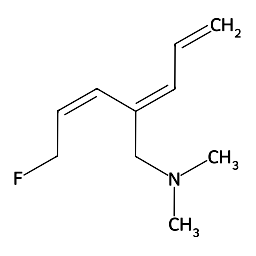 C=C/C=C(\C=C/CF)CN(C)C